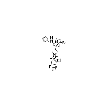 O=S(=O)(c1ccc(C(F)(F)F)cc1Cl)N1CCC(c2cc(NCc3cccnc3)n3ncc(Br)c3n2)CC1